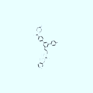 O=C(NCc1cccnc1)NCc1cc2cc(-c3ccc(C(=O)N4CCC(F)(F)CC4)cc3)cc(-c3ccc(F)cc3)c2o1